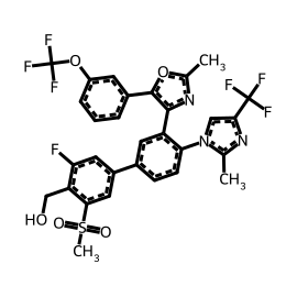 Cc1nc(-c2cc(-c3cc(F)c(CO)c(S(C)(=O)=O)c3)ccc2-n2cc(C(F)(F)F)nc2C)c(-c2cccc(OC(F)(F)F)c2)o1